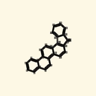 c1ccc2c(c1)ccc1c2ccc2c1ccc1[nH]c3ccccc3c12